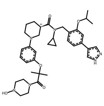 CC(C)Oc1cc(-c2cn[nH]c2)ccc1CN(C(=O)[C@@H]1CCCN(c2cccc(OC(C)(C)C(=O)N3CCN(O)CC3)c2)C1)C1CC1